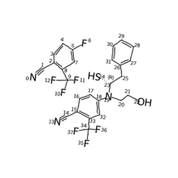 N#Cc1ccc(F)cc1C(F)(F)F.N#Cc1ccc(N(CCO)[C@H](S)Cc2ccccc2)cc1C(F)(F)F